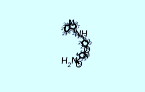 NC(=O)c1ccc(Oc2ccc(CCNCc3ccnc4ccccc34)cc2)nc1